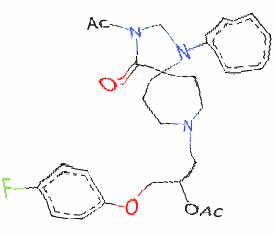 CC(=O)OC(COc1ccc(F)cc1)CN1CCC2(CC1)C(=O)N(C(C)=O)CN2c1ccccc1